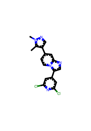 Cc1c(-c2ccn3c(-c4cc(Cl)nc(Cl)c4)cnc3c2)cnn1C